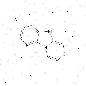 C1=CN2C(=CO1)Nc1cccnc12